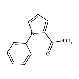 O=C(c1cccn1-c1ccccc1)C(Cl)(Cl)Cl